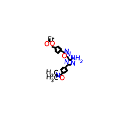 CCC(=O)OCc1ccc(-c2nnc(-c3nc(-c4ccc(C(=O)N(C)C)cc4)cnc3N)o2)cc1